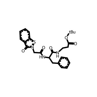 CC(C)(C)OC(=O)CCNC(=O)C(Cc1ccccc1)NC(=O)Cn1sc2ccccc2c1=O